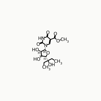 CCC(O)(CC)[C@H]1O[C@@H](n2cc(C(=O)OC)c(=O)[nH]c2=O)[C@H](O)[C@@H]1O